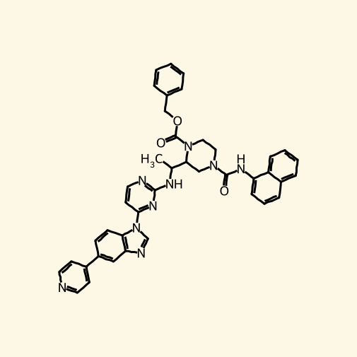 CC(Nc1nccc(-n2cnc3cc(-c4ccncc4)ccc32)n1)C1CN(C(=O)Nc2cccc3ccccc23)CCN1C(=O)OCc1ccccc1